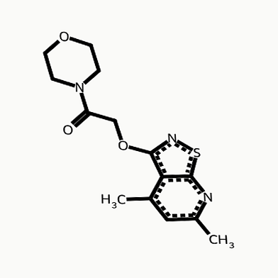 Cc1cc(C)c2c(OCC(=O)N3CCOCC3)nsc2n1